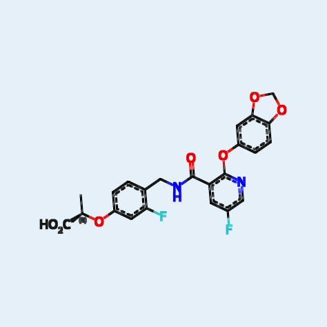 C[C@@H](Oc1ccc(CNC(=O)c2cc(F)cnc2Oc2ccc3c(c2)OCO3)c(F)c1)C(=O)O